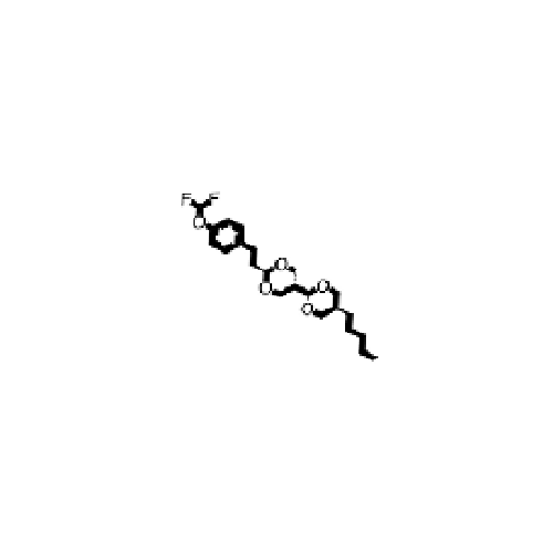 CCCCC[C@H]1CO[C@H]([C@H]2CO[C@H](CCc3ccc(OC(F)F)cc3)OC2)OC1